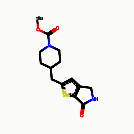 CC(C)(C)OC(=O)N1CCC(Cc2cc3c(s2)C(=O)NC3)CC1